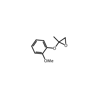 COc1ccccc1OC1(C)CO1